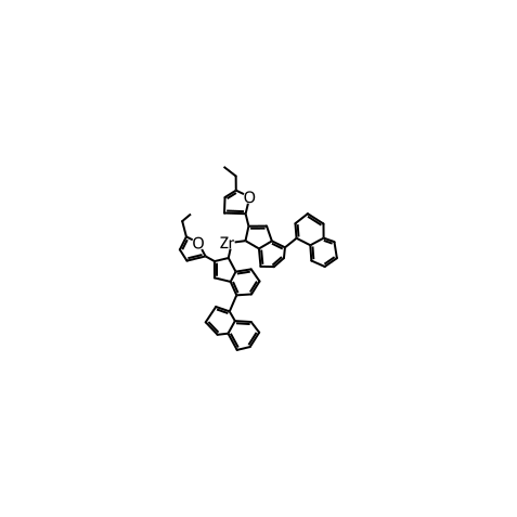 CCc1ccc(C2=Cc3c(-c4cccc5ccccc45)cccc3[CH]2[Zr][CH]2C(c3ccc(CC)o3)=Cc3c(-c4cccc5ccccc45)cccc32)o1